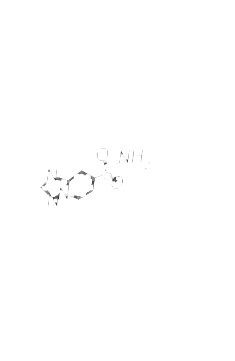 NS(=O)(=O)c1ccn2ncnc2c1